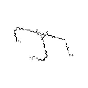 CCCCC/C=C\C/C=C\CCCCCCCCCC(=O)OC[C@@H](COC(=O)CCCCCCCCC/C=C\CCCCCCCC)OC(=O)CCCCCCCCC/C=C\C/C=C\CCCCC